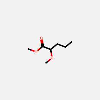 CCCC(OC)C(=O)OC